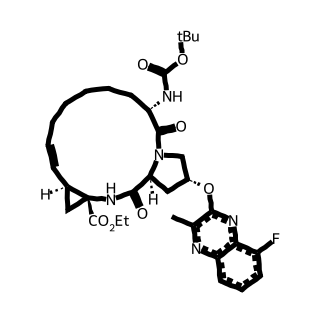 CCOC(=O)[C@@]12C[C@H]1C=CCCCCC[C@H](NC(=O)OC(C)(C)C)C(=O)N1C[C@H](Oc3nc4c(F)cccc4nc3C)C[C@H]1C(=O)N2